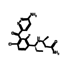 CC[C@@H](N[C@@H](C)CC(N)=O)c1ccc(Cl)c(C(=O)c2ccc(N)nn2)c1F